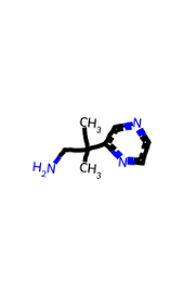 CC(C)(CN)c1cnccn1